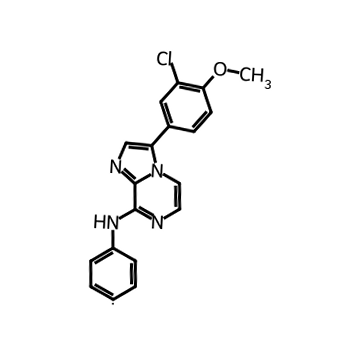 COc1ccc(-c2cnc3c(Nc4cc[c]cc4)nccn23)cc1Cl